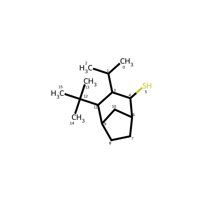 CC(C)C1C(S)C2CCC(C2)C1C(C)(C)C